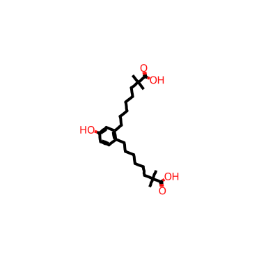 CC(C)(CCCCCCc1ccc(O)cc1CCCCCCC(C)(C)C(=O)O)C(=O)O